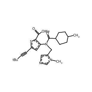 COC(=O)c1sc(C#CC(C)(C)C)cc1N(Cc1cncn1C)C(=O)C1CCC(C)CC1